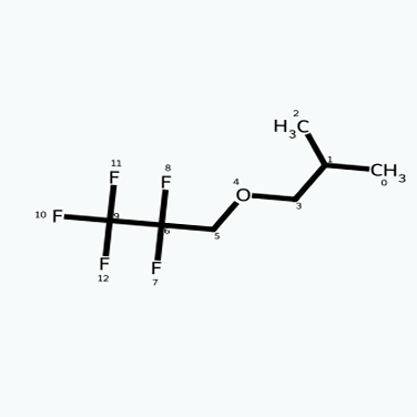 CC(C)COCC(F)(F)C(F)(F)F